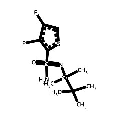 CC(C)(C)[Si](C)(C)N=S(N)(=O)c1scc(F)c1F